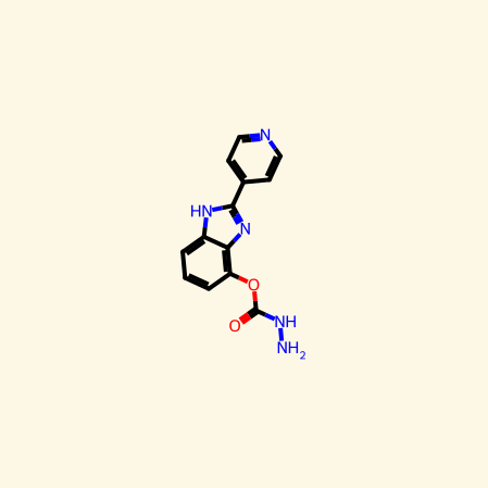 NNC(=O)Oc1cccc2[nH]c(-c3ccncc3)nc12